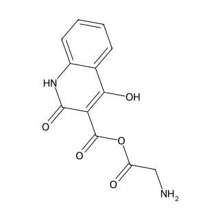 NCC(=O)OC(=O)c1c(O)c2ccccc2[nH]c1=O